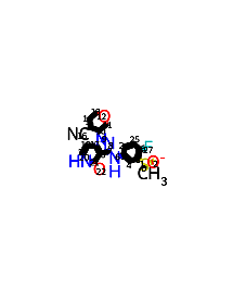 C[S+]([O-])c1cc(Nc2nn([C@H]3COCC[C@@H]3C#N)c3cc[nH]c(=O)c23)ccc1F